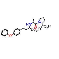 CCOC(=O)C(CCc1ccc(Oc2ccccc2)cc1)N[C@@H](C)C(=O)N1CCC[C@H]1C(=O)O